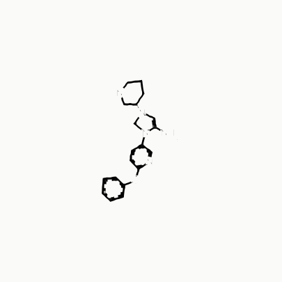 NC1=CN([C@@H]2CCCNC2)CN1c1ccc(Oc2ccccc2)nc1